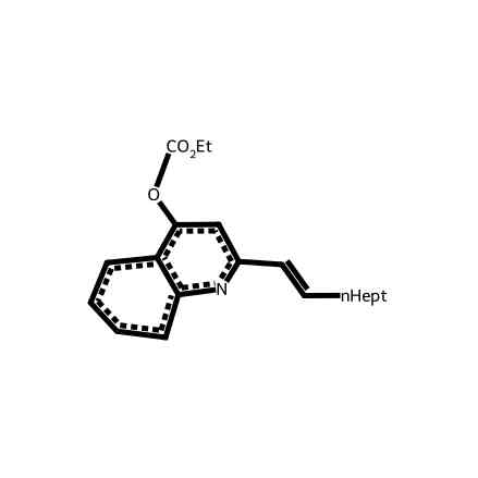 CCCCCCCC=Cc1cc(OC(=O)OCC)c2ccccc2n1